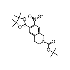 CC(C)(C)OC(=O)N1CCc2cc(B3OC(C)(C)C(C)(C)O3)c([N+](=O)[O-])cc2C1